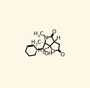 CN1C(=O)[C@@H]2CC(=O)O[C@]2(C)[C@@]1(C)[C@@H](O)[C@@H]1C=CCCC1